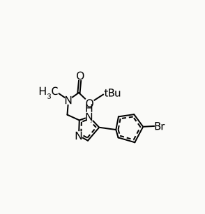 CN(Cc1ncc(-c2ccc(Br)cc2)[nH]1)C(=O)OC(C)(C)C